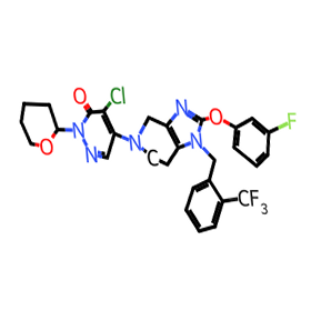 O=c1c(Cl)c(N2CCc3c(nc(Oc4cccc(F)c4)n3Cc3ccccc3C(F)(F)F)C2)cnn1C1CCCCO1